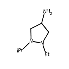 CCN1CC(N)CN1C(C)C